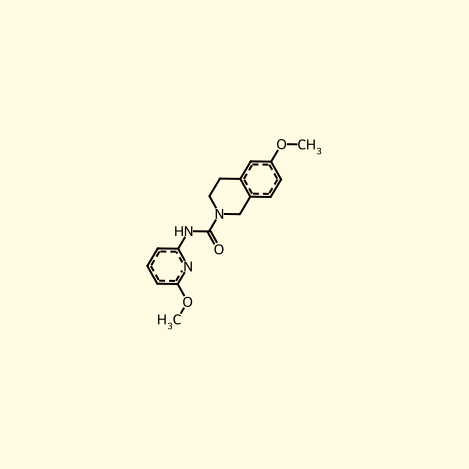 COc1ccc2c(c1)CCN(C(=O)Nc1cccc(OC)n1)C2